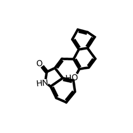 O=C1Nc2ccccc2C1=Cc1c(O)ccc2ccccc12